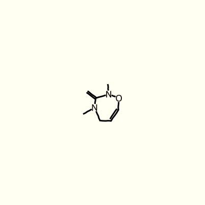 C=C1N(C)CC=CON1C